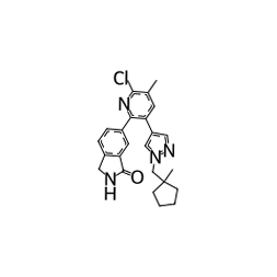 Cc1cc(-c2cnn(CC3(C)CCCC3)c2)c(-c2ccc3c(c2)C(=O)NC3)nc1Cl